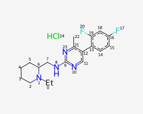 CCN1CCCCC1CNc1ncc(-c2ccc(F)cc2F)c(C)n1.Cl